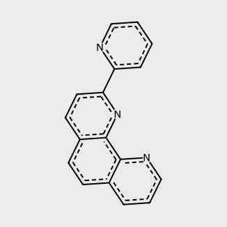 c1ccc(-c2ccc3ccc4cccnc4c3n2)nc1